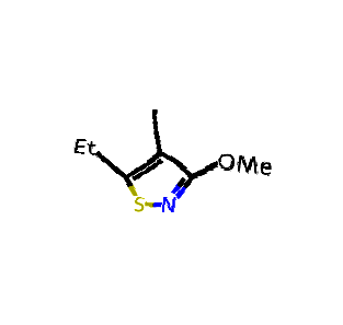 CCc1snc(OC)c1C